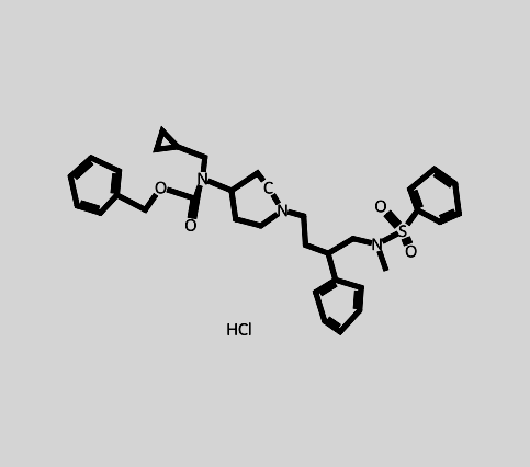 CN(CC(CCN1CCC(N(CC2CC2)C(=O)OCc2ccccc2)CC1)c1ccccc1)S(=O)(=O)c1ccccc1.Cl